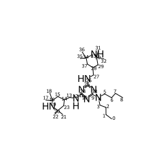 CCCCN(CCCC)c1nc(NCC2CC(C)(C)NC(C)(C)C2)nc(NCC2CC(C)(C)NC(C)(C)C2)n1